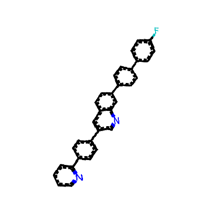 Fc1ccc(-c2ccc(-c3ccc4cc(-c5ccc(-c6ccccn6)cc5)cnc4c3)cc2)cc1